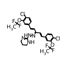 CC(F)(F)Oc1cc(C=CC(C=Cc2ccc(Cl)c(OC(C)(F)F)c2)=NNC2=NCCCN2)ccc1Cl